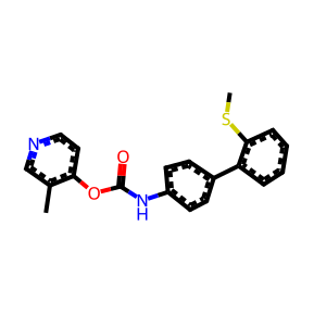 CSc1ccccc1-c1ccc(NC(=O)Oc2ccncc2C)cc1